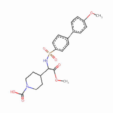 COC(=O)C(NS(=O)(=O)c1ccc(-c2ccc(OC)cc2)cc1)C1CCN(C(=O)O)CC1